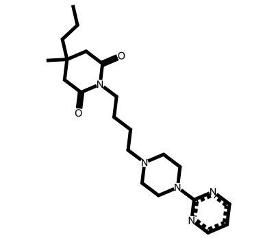 CCCC1(C)CC(=O)N(CCCCN2CCN(c3ncccn3)CC2)C(=O)C1